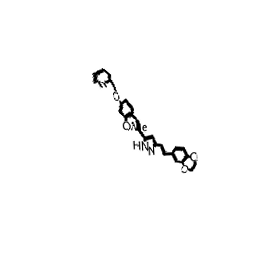 COc1cc(OCc2ccccn2)ccc1C=Cc1cc(C=Cc2ccc3c(c2)OCCO3)n[nH]1